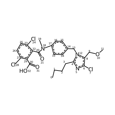 CCCCc1nc(Cl)c(COC)n1Cc1ccc(N(C)C(=O)c2c(Cl)ccc(Cl)c2C(=O)O)cc1